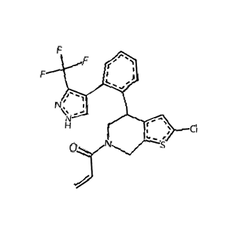 C=CC(=O)N1Cc2sc(Cl)cc2C(c2ccccc2-c2c[nH]nc2C(F)(F)F)C1